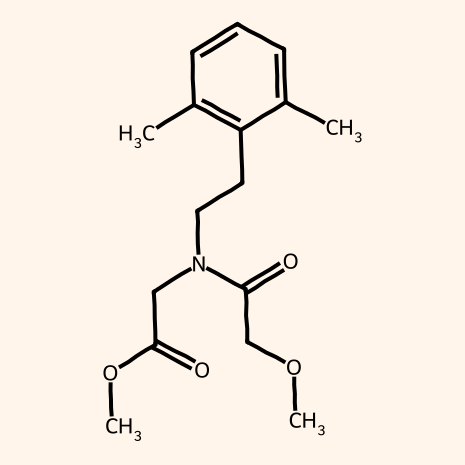 COCC(=O)N(CCc1c(C)cccc1C)CC(=O)OC